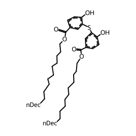 CCCCCCCCCCCCCCCCCCCCOC(=O)c1ccc(O)c(Sc2cc(C(=O)OCCCCCCCCCCCCCCCCCCCC)ccc2O)c1